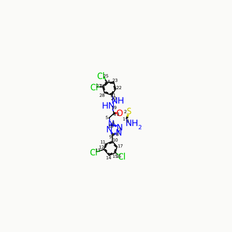 NC=S.O=C(Cn1nnc(-c2cc(Cl)cc(Cl)c2)n1)NNc1ccc(Cl)c(Cl)c1